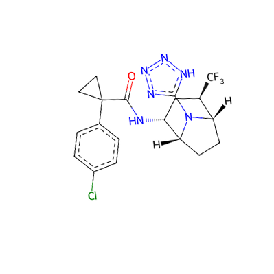 O=C(N[C@@H]1C[C@@H](C(F)(F)F)[C@@H]2CC[C@H]1N2c1nnn[nH]1)C1(c2ccc(Cl)cc2)CC1